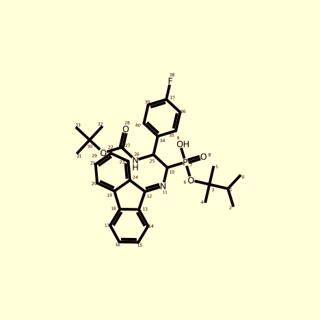 CC(C)C(C)(C)OP(=O)(O)C(N=C1c2ccccc2-c2ccccc21)C(NC(=O)OC(C)(C)C)c1ccc(F)cc1